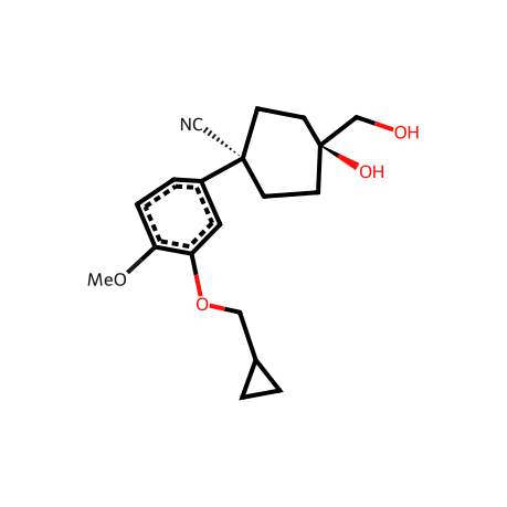 COc1ccc([C@]2(C#N)CC[C@@](O)(CO)CC2)cc1OCC1CC1